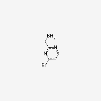 BCc1nccc(Br)n1